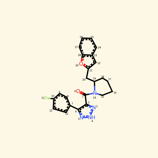 O=C(c1n[nH]nc1-c1ccc(F)cc1)N1CCCCC1Cc1cc2ccccc2o1